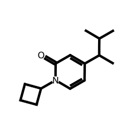 CC(C)C(C)c1ccn(C2CCC2)c(=O)c1